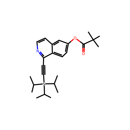 CC(C)[Si](C#Cc1nccc2cc(OC(=O)C(C)(C)C)ccc12)(C(C)C)C(C)C